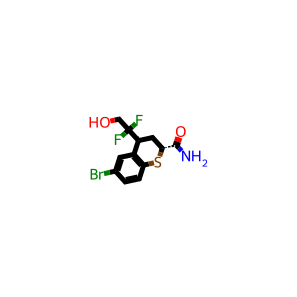 NC(=O)[C@H]1C[C](C(F)(F)CO)c2cc(Br)ccc2S1